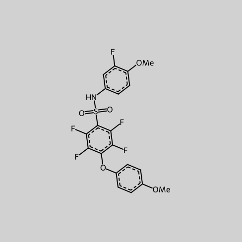 COc1ccc(Oc2c(F)c(F)c(S(=O)(=O)Nc3ccc(OC)c(F)c3)c(F)c2F)cc1